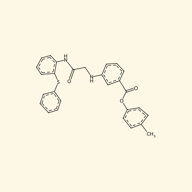 Cc1ccc(OC(=O)c2cccc(NCC(=O)Nc3ccccc3Sc3ccccc3)c2)cc1